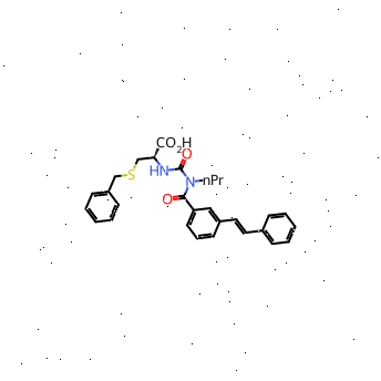 CCCN(C(=O)N[C@@H](CSCc1ccccc1)C(=O)O)C(=O)c1cccc(/C=C/c2ccccc2)c1